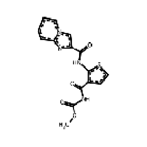 COC(=O)NC(=O)c1ccsc1NC(=O)c1cn2ccccc2n1